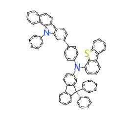 c1ccc(-n2c3cc(-c4ccc(N(c5ccc6c(c5)C(c5ccccc5)(c5ccccc5)c5ccccc5-6)c5cccc6c5sc5ccccc56)cc4)ccc3c3ccc4ccccc4c32)cc1